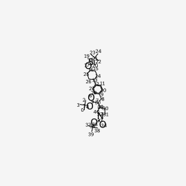 CC(C)(C)OC(=O)[C@@H](Cc1ccc(C2CCC(O[Si](C)(C)C(C)(C)C)CC2)cc1)[C@H]1CCN(C(=O)OC(C)(C)C)C1